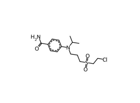 CC(C)N(CCCS(=O)(=O)CCCl)c1ccc(C(N)=O)cc1